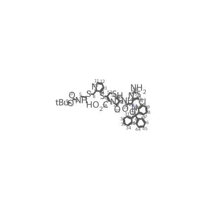 CC(C)(C)OC(=O)NCCSCc1ncccc1SC1=C(C(=O)O)N2C(=O)[C@@H](NC(=O)/C(=N\OC(c3ccccc3)(c3ccccc3)c3ccccc3)c3nc(N)sc3Cl)[C@@H]2SC1